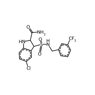 NC(=O)C1Nc2ccc(Cl)cc2C1S(=O)(=O)NCc1cccc(C(F)(F)F)c1